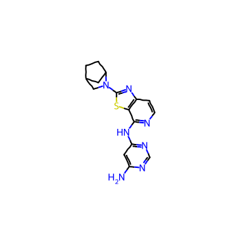 Nc1cc(Nc2nccc3nc(N4CC5CCC4C5)sc23)ncn1